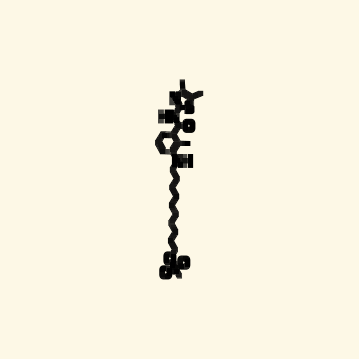 Cc1nc(NC(=O)c2cccc(NCCCCCCCCCCOS(C)(=O)=O)c2C)sc1C